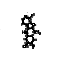 Nc1oc2c(F)nccc2c1NC1C=C(Cl)C(F)=CC1